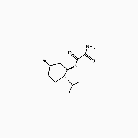 CC(C)[C@@H]1CC[C@@H](C)C[C@H]1OC(=O)C(N)=O